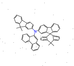 CC1(C)c2ccccc2-c2ccc(N(c3ccc4c(c3)C3(c5ccccc5-4)c4ccccc4C(C)(C)c4ccccc43)c3cc4ccccc4c4ccccc34)cc21